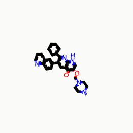 CN1CCN(COc2c[nH]c3nc(-c4ccccc4)c(-c4ccc5ncccc5c4)cc3c2=O)CC1